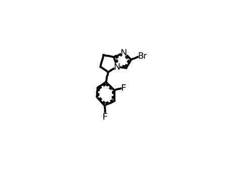 Fc1ccc(C2CCc3nc(Br)cn32)c(F)c1